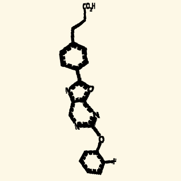 O=C(O)CCc1ccc(-c2nc3cnc(Oc4ccccc4F)nc3o2)cc1